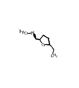 CCC1CCC(C=NO)O1